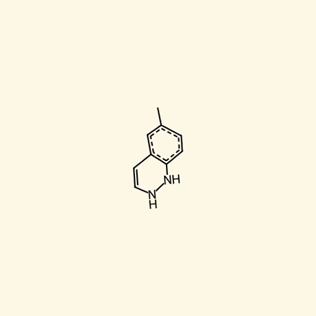 Cc1ccc2c(c1)C=CNN2